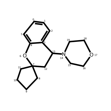 c1ccc2c(c1)OC1(CCCC1)CC2N1CCOCC1